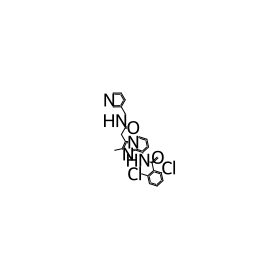 Cc1nc2c(NC(=O)c3c(Cl)cccc3Cl)cccn2c1CC(=O)NCc1cccnc1